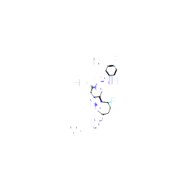 COC(=O)NC[C@@H]1CCC(F)(F)c2c3c(nn2C1)C[C@@H](C)N(C(=O)Nc1ccc(F)c(C#N)c1)C3